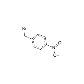 O=[N+](O)c1ccc(CBr)cc1